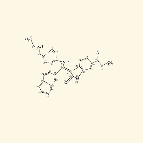 CCNCc1ccc(NC(=C2C(=O)Nc3cc(C(=O)OC)ccc32)c2ccc3cnncc3c2)cc1